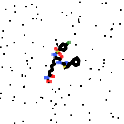 O=C(CCCCC[C@H](NS(=O)(=O)c1ccc(Cl)cc1)C(=O)Nc1nc(-c2ccccc2)cs1)NO